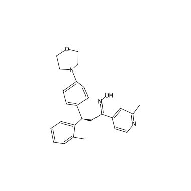 Cc1cc(C(C[C@H](c2ccc(N3CCOCC3)cc2)c2ccccc2C)=NO)ccn1